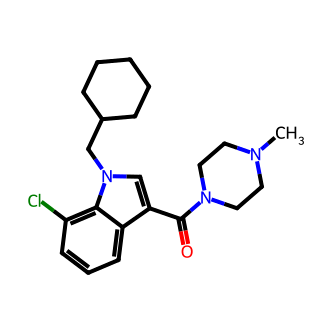 CN1CCN(C(=O)c2cn(CC3CCCCC3)c3c(Cl)cccc23)CC1